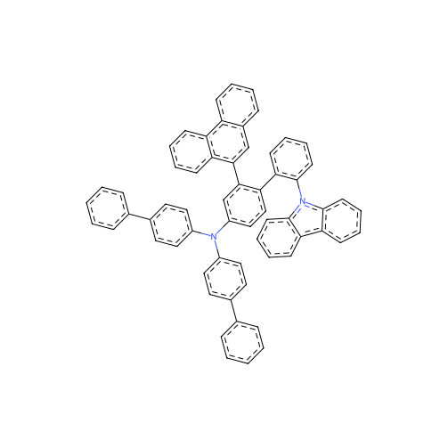 c1ccc(-c2ccc(N(c3ccc(-c4ccccc4)cc3)c3ccc(-c4ccccc4-n4c5ccccc5c5ccccc54)c(-c4cc5ccccc5c5ccccc45)c3)cc2)cc1